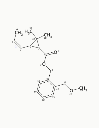 C/C=C\C1C(C(=O)OCc2ccccc2COC)C1(C)C